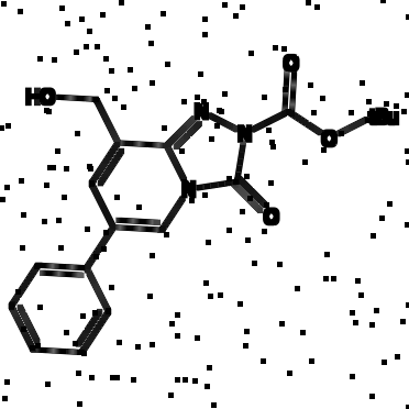 CC(C)(C)OC(=O)n1nc2c(CO)cc(-c3ccccc3)cn2c1=O